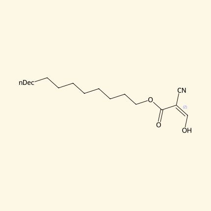 CCCCCCCCCCCCCCCCCCOC(=O)/C(C#N)=C\O